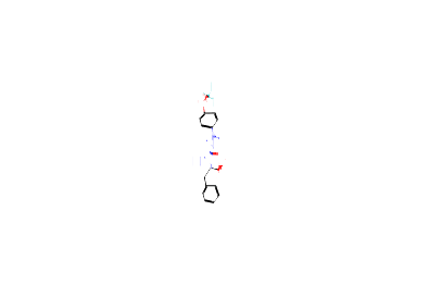 O=C(/N=N/c1ccc(OC(F)(F)F)cc1)NC(Cc1ccccc1)C(=O)O